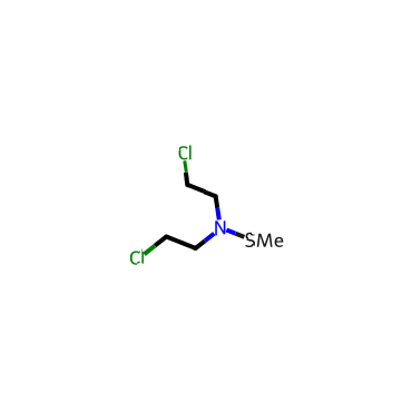 CSN(CCCl)CCCl